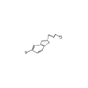 ClCC=Cc1cc2cc(Cl)ccc2s1